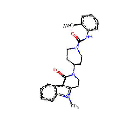 COc1ccccc1NC(=O)N1CCC(N2CCc3c(c4ccccc4n3C)C2=O)CC1